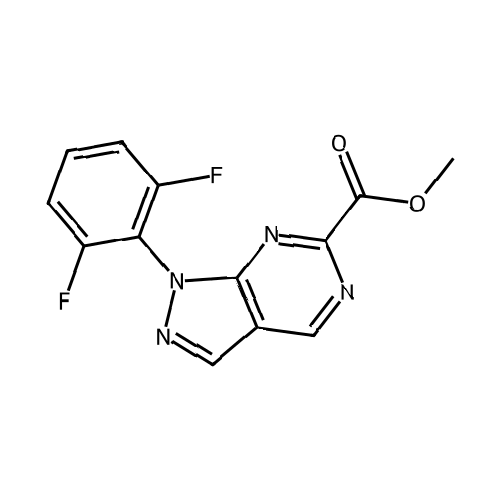 COC(=O)c1ncc2cnn(-c3c(F)cccc3F)c2n1